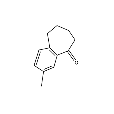 O=C1CCCCc2ccc(I)cc21